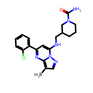 Bc1cnn2c(NCC3CCCN(C(N)=O)C3)cc(-c3ccccc3Cl)nc12